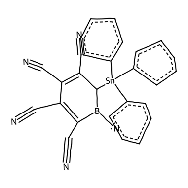 N#CB1C(C#N)=C(C#N)C(C#N)=C(C#N)[CH]1[Sn]([c]1ccccc1)([c]1ccccc1)[c]1ccccc1